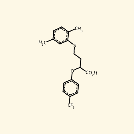 Cc1ccc(C)c(SCCC(Oc2ccc(C(F)(F)F)cc2)C(=O)O)c1